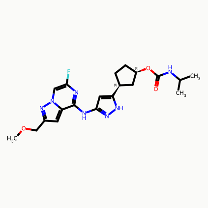 COCc1cc2c(Nc3cc([C@H]4CC[C@@H](OC(=O)NC(C)C)C4)[nH]n3)nc(F)cn2n1